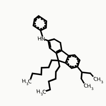 CCCCCCC1(CCCCCC)C2=C(CCC(Nc3ccccc3)=C2)c2ccc(C(CC)CC)cc21